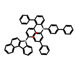 c1ccc(-c2ccc(N(c3cccc(-c4ccccc4)c3)c3cccc(-c4ccccc4)c3-c3ccc(-n4c5ccccc5c5c6ccccc6ccc54)cc3)cc2)cc1